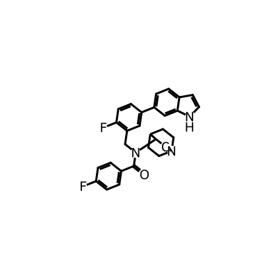 O=C(c1ccc(F)cc1)N(Cc1cc(-c2ccc3cc[nH]c3c2)ccc1F)C1CN2CCC1CC2